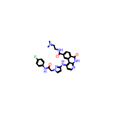 CN(C)CCNC(=O)c1ccc2c(=O)[nH]c3nccc(Nc4ccn(CC(=O)Nc5ccc(F)cc5)n4)c3c2c1